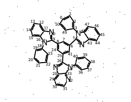 c1ccc(-n2c(-c3cc(-c4nc5ccccc5n4-c4ccccc4)cc(-c4nc5cccnc5n4-c4ccccc4)c3)nc3ccccc32)cc1